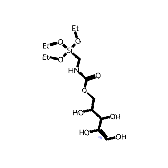 CCO[Si](CNC(=O)OCC(O)C(O)/C(O)=C\O)(OCC)OCC